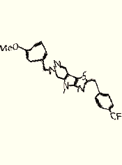 COc1cccc(CN2Cc3c(c4sc(Cc5ccc(C(F)(F)F)cc5)nc4n3C)C=N2)c1